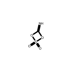 N=C1OS(=O)(=O)O1